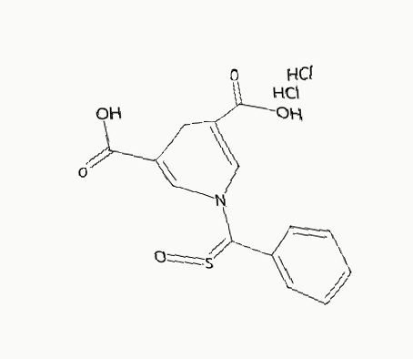 Cl.Cl.O=S=C(c1ccccc1)N1C=C(C(=O)O)CC(C(=O)O)=C1